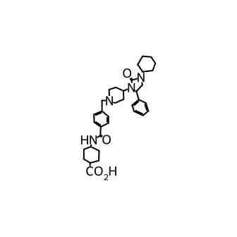 O=C(NC1CCC(C(=O)O)CC1)c1ccc(CN2CCC(N3C(=O)N(C4CCCCC4)CC3c3ccccc3)CC2)cc1